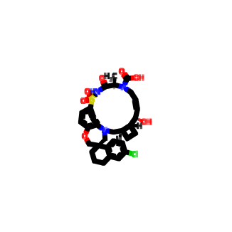 C[C@@H]1C(=O)NS(=O)(=O)c2ccc3c(c2)N(C[C@@H]2CC[C@H]2[C@@H](O)/C=C\CN1C(=O)O)C[C@@]1(CCCc2cc(Cl)ccc21)CO3